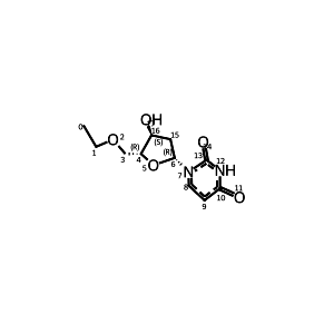 CCOC[C@H]1O[C@@H](n2ccc(=O)[nH]c2=O)C[C@@H]1O